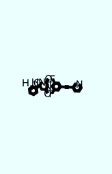 C[C@@]1(c2ccccc2)CC(=O)N(c2c(F)cc(C#Cc3cccnc3)cc2F)C(=O)N1